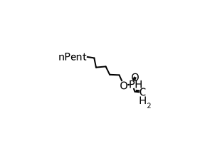 C=C[PH](=O)OCCCCCCCCCC